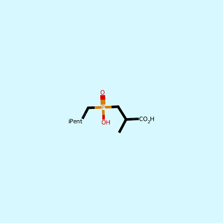 CCCC(C)CP(=O)(O)CC(C)C(=O)O